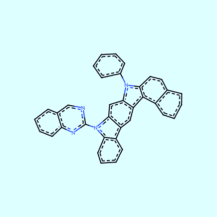 c1ccc(-n2c3cc4c(cc3c3c5ccccc5ccc32)c2ccccc2n4-c2ncc3ccccc3n2)cc1